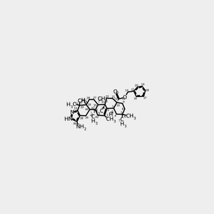 CC1=C2[C@@H]3CC(C)(C)CC[C@]3(C(=O)OCc3ccccc3)CC[C@@]2(C)[C@]2(C)CC[C@H]3C(C)(C)c4n[nH]c(N)c4C[C@]3(C)C2C1